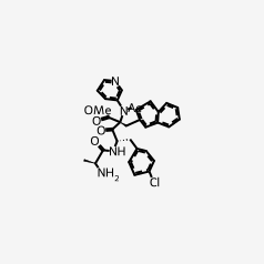 COC(=O)[C@@](Cc1ccc2ccccc2c1)(C(=O)[C@H](Cc1ccc(Cl)cc1)NC(=O)[C@H](C)N)N(C(C)=O)c1cccnc1